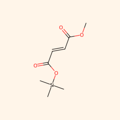 COC(=O)/C=C/C(=O)O[Si](C)(C)C